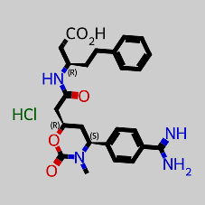 CN1C(=O)O[C@@H](CC(=O)N[C@H](CCc2ccccc2)CC(=O)O)C[C@H]1c1ccc(C(=N)N)cc1.Cl